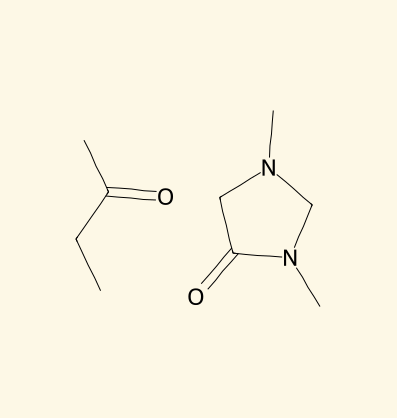 CCC(C)=O.CN1CC(=O)N(C)C1